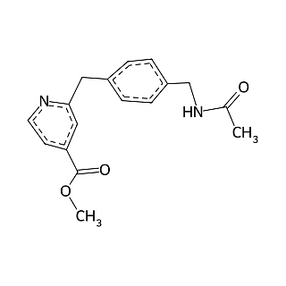 COC(=O)c1ccnc(Cc2ccc(CNC(C)=O)cc2)c1